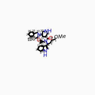 COCCCC(c1c[nH]c2ccccc12)N(C(=O)[C@H]1CNC[C@@H](N(Cc2ccccc2)C(=O)C(C)(C)C)C1)C1CC1